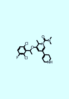 CC(OC1=CC(C2=CCNCC2)=CN(C(=O)N(C)C)C1C)c1c(Cl)ccc(F)c1Cl